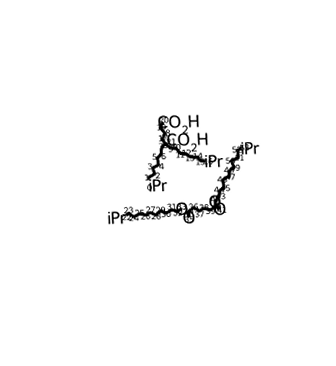 CC(C)CCCCCCCC(CCCCCCCC(C)C)(CCCC(=O)O)C(=O)O.CC(C)CCCCCCCCCCOC(=O)CCCCC(=O)OCCCCCCCCCCC(C)C